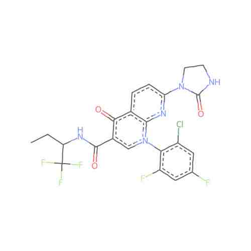 CCC(NC(=O)c1cn(-c2c(F)cc(F)cc2Cl)c2nc(N3CCNC3=O)ccc2c1=O)C(F)(F)F